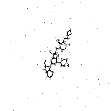 C1CCC1.CCc1nc2ccccc2n1-c1nc(C2CNCCO2)c2nc(CN3CCNC(C=O)C3=O)n(C)c2n1